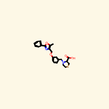 Cc1oc(-c2ccccc2)nc1COc1cccc(CN2CCSCC2C(=O)O)c1